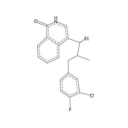 CC[C](c1c[nH]c(=O)c2ccccc12)C(C)Cc1ccc(F)c(Cl)c1